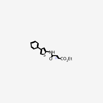 CCOC(=O)/C=C/C(=O)Nc1cc(-c2ccccc2)cs1